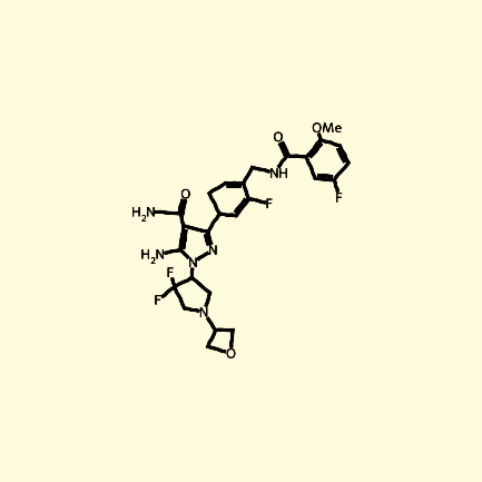 COc1ccc(F)cc1C(=O)NCC1=CCC(c2nn(C3CN(C4COC4)CC3(F)F)c(N)c2C(N)=O)C=C1F